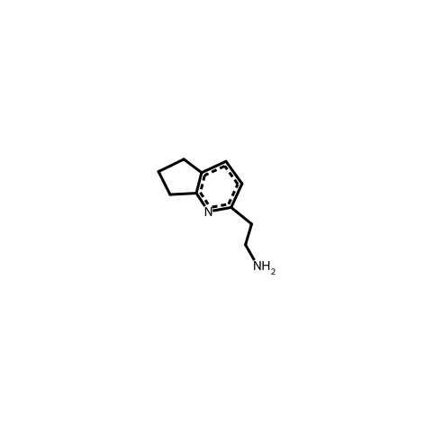 NCCc1ccc2c(n1)CCC2